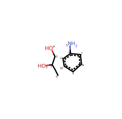 CC(O)CO.Nc1ccccc1